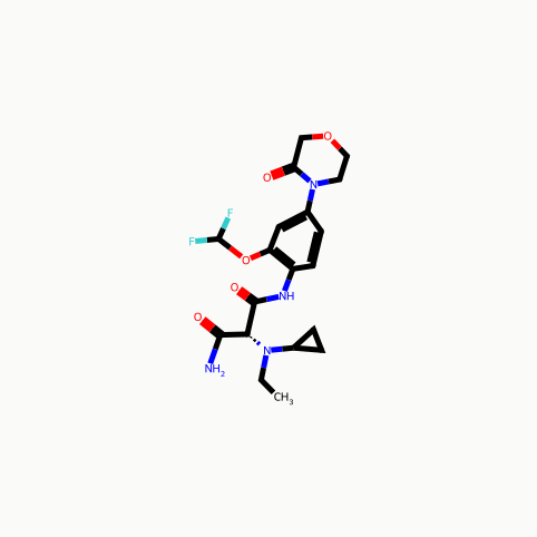 CCN(C1CC1)[C@H](C(N)=O)C(=O)Nc1ccc(N2CCOCC2=O)cc1OC(F)F